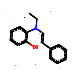 CCN(C=Cc1ccccc1)c1ccccc1O